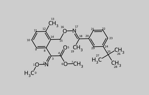 CO/N=C(/C(=O)OC)c1cccc(C)c1CO/N=C(\C)c1cccc(C(C)(C)C)c1